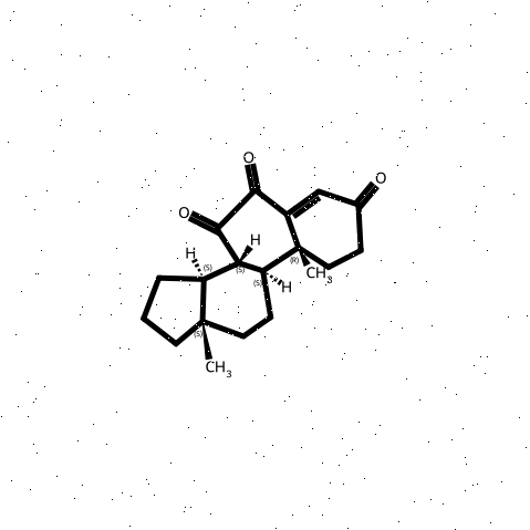 C[C@@]12CCC[C@H]1[C@@H]1C(=O)C(=O)C3=CC(=O)CC[C@]3(C)[C@H]1CC2